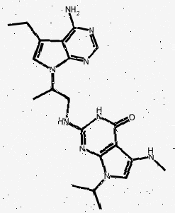 CCc1cn(C(C)CNc2nc3c(c(NC)cn3C(C)C)c(=O)[nH]2)c2ncnc(N)c12